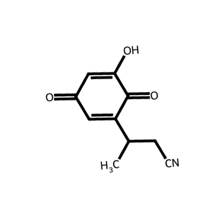 CC(CC#N)C1=CC(=O)C=C(O)C1=O